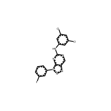 Fc1cccc(-n2nnc3cnc(Nc4cc(Cl)cc(Cl)c4)nc32)c1